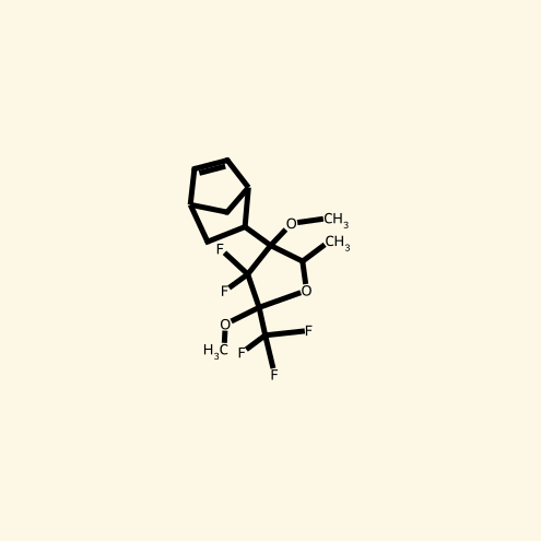 COC1(C2CC3C=CC2C3)C(C)OC(OC)(C(F)(F)F)C1(F)F